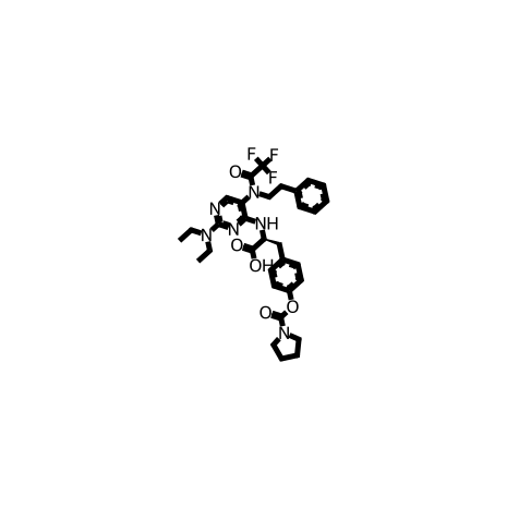 CCN(CC)c1ncc(N(CCc2ccccc2)C(=O)C(F)(F)F)c(N[C@@H](Cc2ccc(OC(=O)N3CCCC3)cc2)C(=O)O)n1